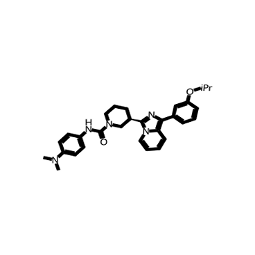 CC(C)Oc1cccc(-c2nc([C@@H]3CCCN(C(=O)Nc4ccc(N(C)C)cc4)C3)n3ccccc23)c1